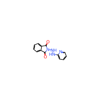 O=C1c2ccccc2C(=O)N1NNc1ccccn1